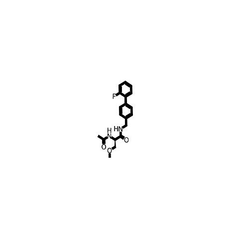 COC[C@@H](NC(C)=O)C(=O)NCc1ccc(-c2ccccc2F)cc1